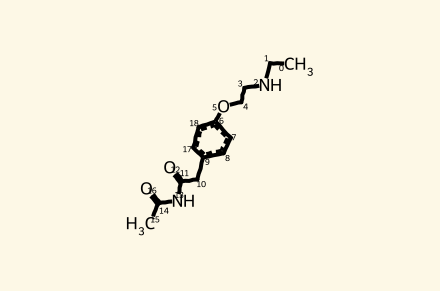 CCNCCOc1ccc(CC(=O)NC(C)=O)cc1